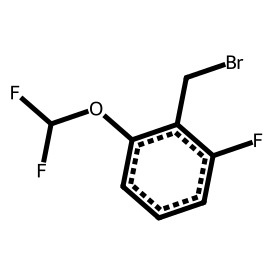 Fc1cccc(OC(F)F)c1CBr